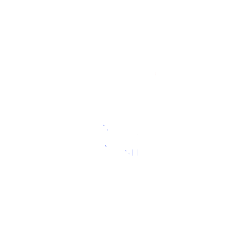 CCC(O)C(=Cc1ccccc1)c1c[nH]nn1